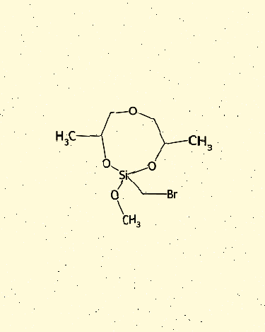 CO[Si]1(CBr)OC(C)COCC(C)O1